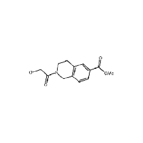 COC(=O)c1ccc2c(c1)CCN(C(=O)CCl)C2